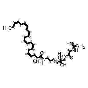 C.CC/C=C\C/C=C\C/C=C\C/C=C\C/C=C\C/C=C\CCC(=O)NCCSSC(C)(C)CNC(=O)CNC(=N)N